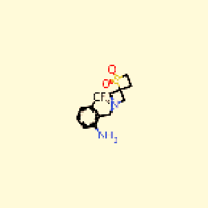 Nc1cccc(C(F)(F)F)c1CN1CC2(CCS2(=O)=O)C1